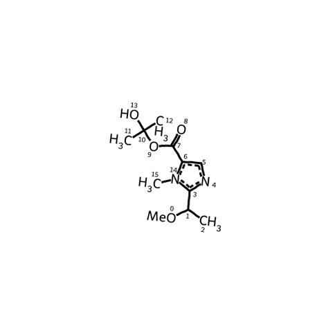 COC(C)c1ncc(C(=O)OC(C)(C)O)n1C